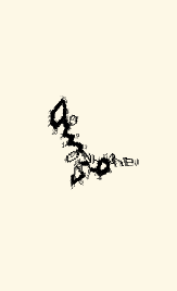 CCCCOc1ccc(C[C@@H](CN2CCCC2)NC(=O)CCCCC(=O)C2CCCCC2)cc1